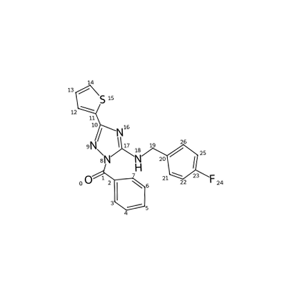 O=C(c1ccccc1)n1nc(-c2cccs2)nc1NCc1ccc(F)cc1